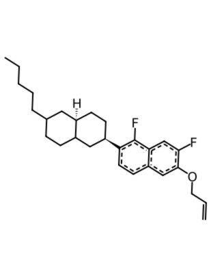 C=CCOc1cc2ccc([C@@H]3CC[C@@H]4CC(CCCCC)CCC4C3)c(F)c2cc1F